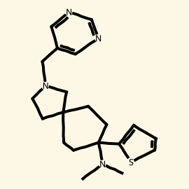 CN(C)C1(c2cccs2)CCC2(CCN(Cc3cncnc3)C2)CC1